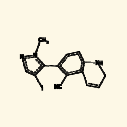 Cn1ncc(I)c1-c1ccc2c(c1C#N)C=CCN2